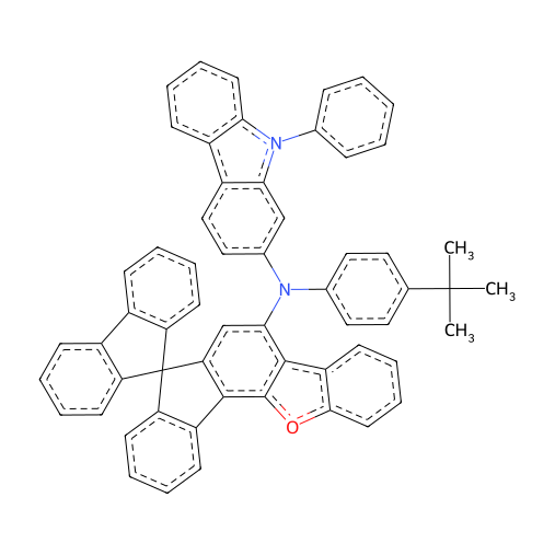 CC(C)(C)c1ccc(N(c2ccc3c4ccccc4n(-c4ccccc4)c3c2)c2cc3c(c4oc5ccccc5c24)-c2ccccc2C32c3ccccc3-c3ccccc32)cc1